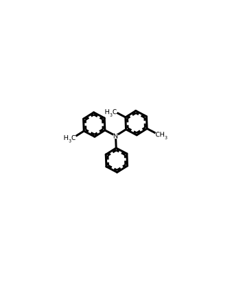 Cc1cccc(N(c2ccccc2)c2cc(C)ccc2C)c1